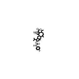 C=C1C2CC3C(C(C)C)C(OC(=O)Nc4ccc(F)cc4)CC3(C)CC2C(C)=CCC2C(C)OC(=O)C(O)C12O